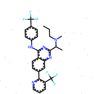 CCCN(C)C(C)c1nc(Nc2ccc(C(F)(F)F)cc2)c2ccc(-c3ncccc3C(F)(F)F)cc2n1